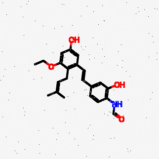 CCOc1cc(O)cc(C=Cc2ccc(NC=O)c(O)c2)c1CC=C(C)C